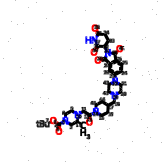 C[C@H]1CN(C(=O)OC(C)(C)C)CCN1CC(=O)N1CCC(CN2CCN(c3ccc4c(c3)C(=O)N(C3CCC(=O)NC3=O)C4=O)CC2)CC1